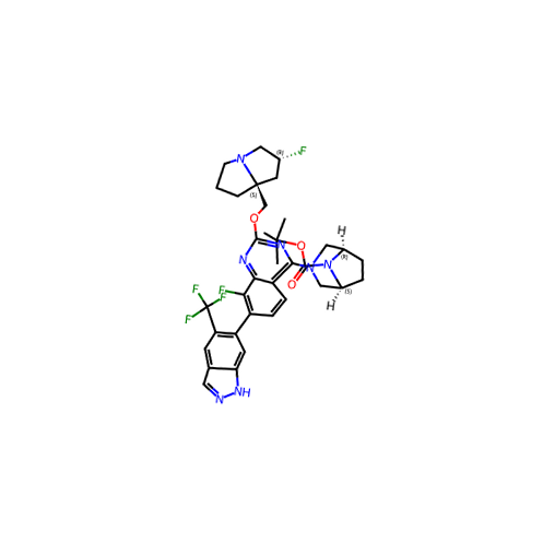 CC(C)(C)OC(=O)N1[C@@H]2CC[C@H]1CN(c1nc(OC[C@@]34CCCN3C[C@H](F)C4)nc3c(F)c(-c4cc5[nH]ncc5cc4C(F)(F)F)ccc13)C2